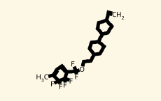 C=CC1CCC(C2CCC(CCOC(F)(F)C3=CC=C(C)C(F)(F)C3(F)F)CC2)CC1